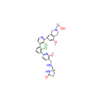 COc1cc(-c2nccc(-c3cccc(-c4ccc(CNC[C@H]5CCC(=O)N5)c(OC)n4)c3Cl)c2Cl)cc2c1CCN(C[C@H](C)O)C2